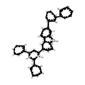 c1ccc(-c2cccc(-c3ccc4c(c3)oc3ccc(-c5cc(-c6ccccc6)nc(-c6ccccc6)n5)cc34)c2)cc1